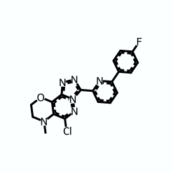 CN1CCOc2c1c(Cl)nn1c(-c3cccc(-c4ccc(F)cc4)n3)nnc21